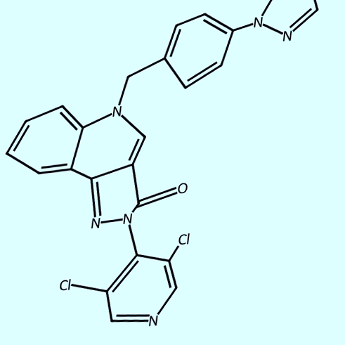 O=c1c2cn(Cc3ccc(-n4cccn4)cc3)c3ccccc3c-2nn1-c1c(Cl)cncc1Cl